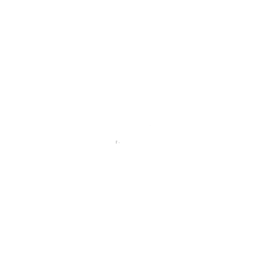 O=C(O)[C@H]1CC[C@@H](c2c(F)cc(F)cc2F)N1